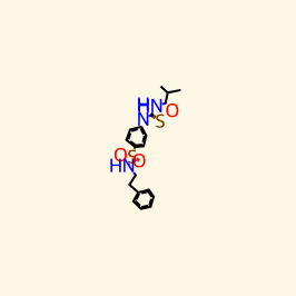 CC(C)C(=O)NC(=S)Nc1ccc(S(=O)(=O)NCCc2ccccc2)cc1